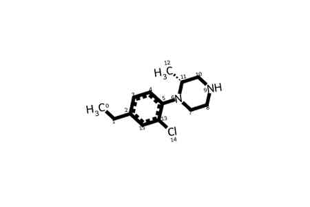 CCc1ccc(N2CCNC[C@H]2C)c(Cl)c1